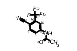 CC(=O)Nc1ccc(C#N)c(C(F)(F)F)c1